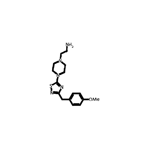 COc1ccc(Cc2nsc(N3CCN(CCN)CC3)n2)cc1